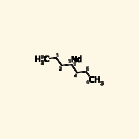 CCCCCCC.[Nd]